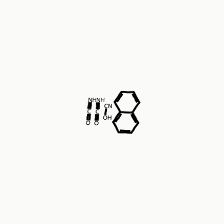 N#CO.N=C=O.N=C=O.c1ccc2ccccc2c1